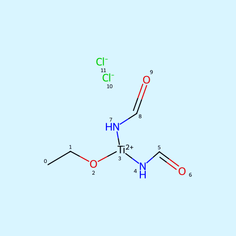 CC[O][Ti+2]([NH]C=O)[NH]C=O.[Cl-].[Cl-]